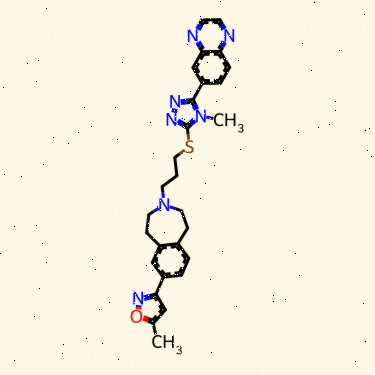 Cc1cc(-c2ccc3c(c2)CCN(CCCSc2nnc(-c4ccc5nccnc5c4)n2C)CC3)no1